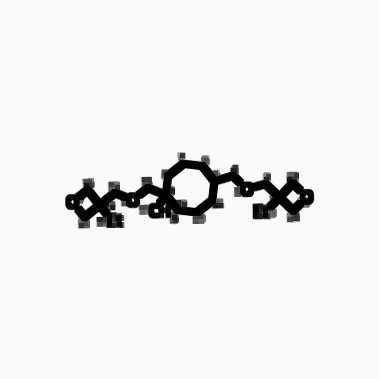 CCC1(COCC2CCCC(C)(COCC3(CC)COC3)CCC2)COC1